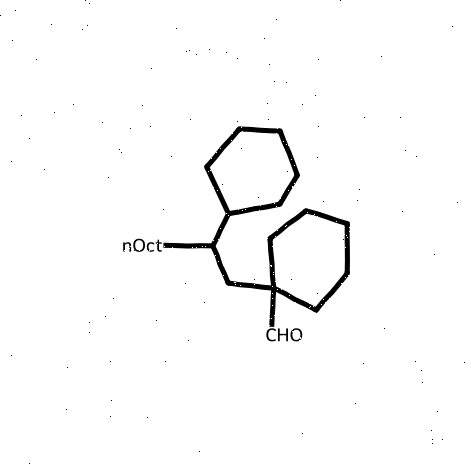 CCCCCCCCC(CC1(C=O)CCCCC1)C1CCCCC1